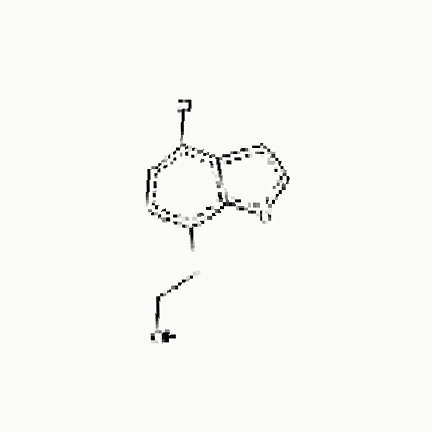 OCCc1ccc(Cl)c2ccoc12